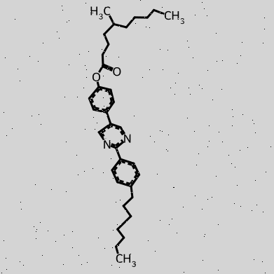 CCCCCCCc1ccc(-c2ncc(-c3ccc(OC(=O)CCCC(C)CCCCC)cc3)cn2)cc1